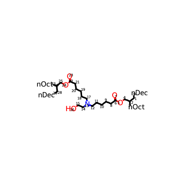 CCCCCCCCCCCC(CCCCCCCC)COC(=O)CCCCCN(CCO)CCCCCC(=O)OCC(CCCCCCCC)CCCCCCCCCCC